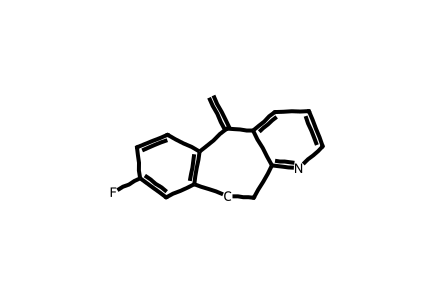 C=C1c2ccc(F)cc2CCc2ncccc21